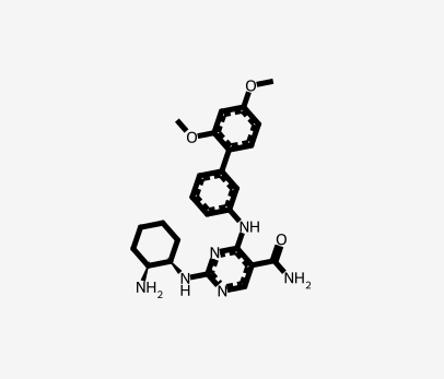 COc1ccc(-c2cccc(Nc3nc(N[C@@H]4CCCC[C@@H]4N)ncc3C(N)=O)c2)c(OC)c1